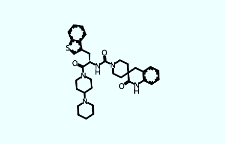 O=C(N[C@H](Cc1csc2ccccc12)C(=O)N1CCC(N2CCCCC2)CC1)N1CCC2(CC1)Cc1ccccc1NC2=O